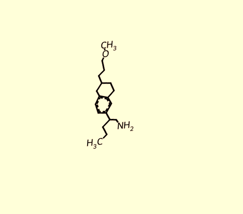 CCCC(CN)c1ccc2c(c1)CCC(CCCOC)C2